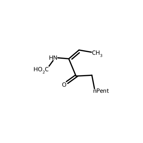 CC=C(NC(=O)O)C(=O)CCCCCC